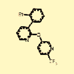 CCc1ccccc1-c1cccnc1Oc1ccc(C(F)(F)F)nc1